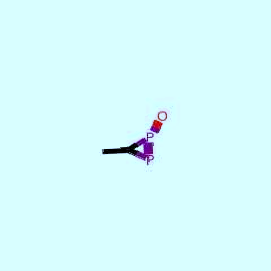 CC1P=P1=O